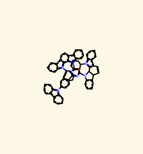 C1=CCC(n2c3c(c4ccccc42)C=CC2c4ccccc4N(c4cc(-n5c6ccccc6c6ccc7c8ccccc8n(C8=CCCC=C8)c7c65)nc(-c5ccc(-n6c7ccccc7c7ccccc76)cc5)n4)C32)C=C1